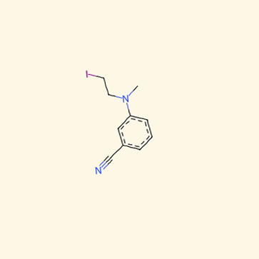 CN(CCI)c1cccc(C#N)c1